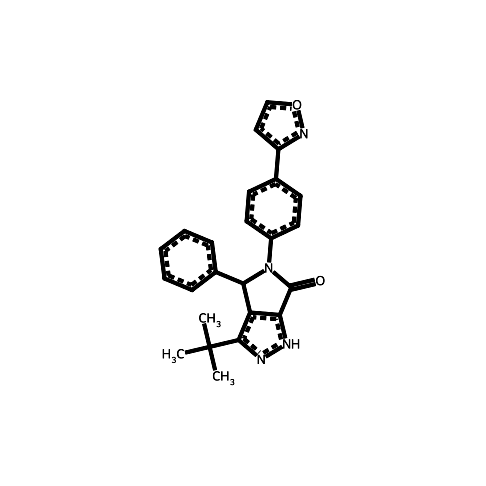 CC(C)(C)c1n[nH]c2c1C(c1ccccc1)N(c1ccc(-c3ccon3)cc1)C2=O